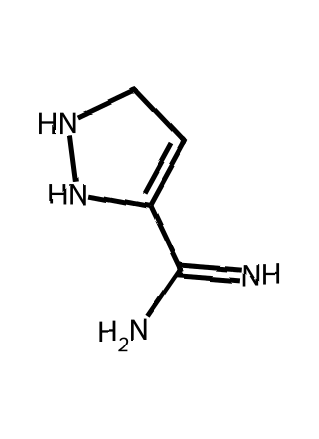 N=C(N)C1=CCNN1